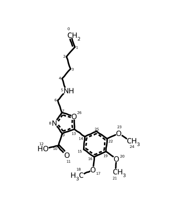 C=CCCCNCc1nc(C(=O)O)c(-c2cc(OC)c(OC)c(OC)c2)o1